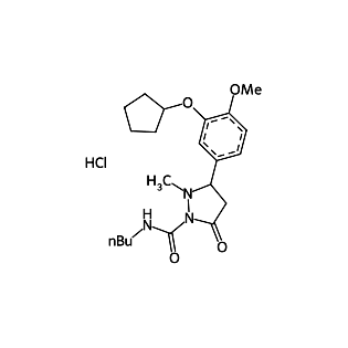 CCCCNC(=O)N1C(=O)CC(c2ccc(OC)c(OC3CCCC3)c2)N1C.Cl